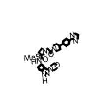 CS[C@@]1(C(=O)Nc2ccc3[nH]nc(N4CCOCC4)c3c2)CCN(CC(=O)N2CC=C(c3ccc(-c4ncccn4)cc3)CC2)C1